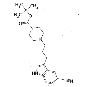 CC(C)(C)OC(=O)N1CCN(CCCc2c[nH]c3ccc(C#N)cc23)CC1